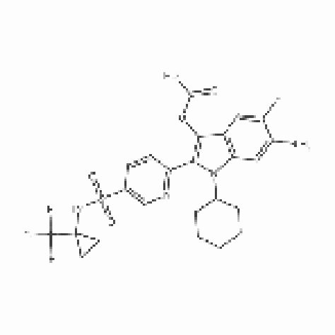 Cc1cc2c(cc1F)c(OC(=O)O)c(-c1ccc(S(=O)(=O)NC3(C(F)(F)F)CC3)cn1)n2C1CCCCC1